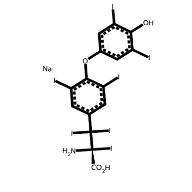 N[C@](I)(C(=O)O)C(I)(I)c1cc(I)c(Oc2cc(I)c(O)c(I)c2)c(I)c1.[Na]